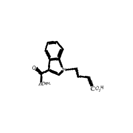 CCCCCCCCCCC(=O)c1cn(CCCC(=O)O)c2ccccc12